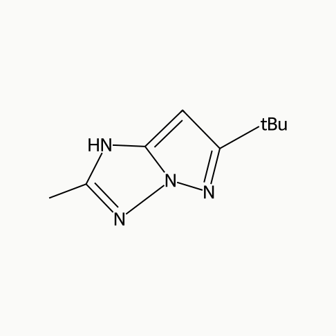 Cc1nn2nc(C(C)(C)C)cc2[nH]1